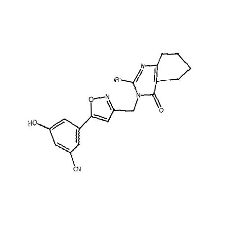 CC(C)c1nc2c(c(=O)n1Cc1cc(-c3cc(O)cc(C#N)c3)on1)CCCC2